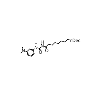 CCCCCCCCCCCCCCCCCC(=O)NC(=O)Nc1cccc(N(C)C)c1